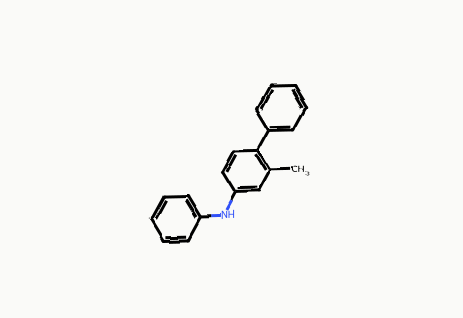 Cc1cc(Nc2cc[c]cc2)ccc1-c1ccccc1